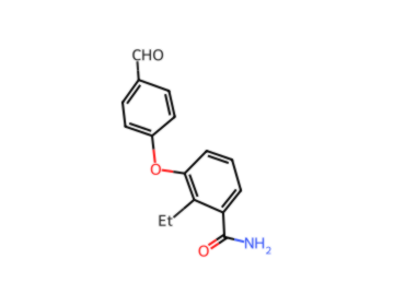 CCc1c(Oc2ccc(C=O)cc2)cccc1C(N)=O